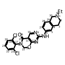 CCN1CCc2cc(Nc3ncc4c(n3)OCN(c3c(Cl)cccc3Cl)C4=O)ccc2C1